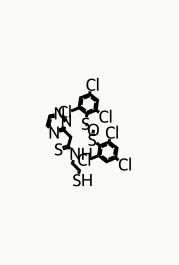 Clc1cc(Cl)c(SOSc2c(Cl)cc(Cl)cc2Cl)c(Cl)c1.S=C(Cc1nccnn1)NCCS